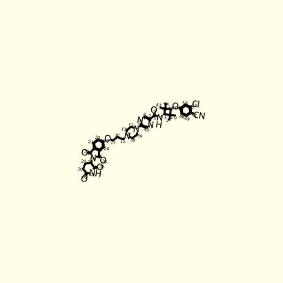 CC1(C)[C@H](NC(=O)c2cnc(N3CCN(CCCOc4ccc5c(c4)C(=O)N(C4CCC(=O)NC4=O)C5=O)CC3)cn2)C(C)(C)[C@H]1Oc1ccc(C#N)c(Cl)c1